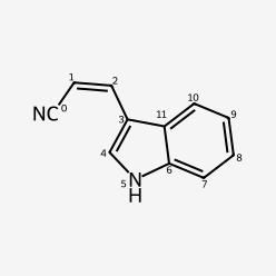 N#C/C=C\c1c[nH]c2ccccc12